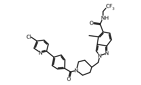 Cc1c(C(=O)NCC(F)(F)F)ccc2nn(CC3CCN(C(=O)c4ccc(-c5ccc(Cl)cn5)cc4)CC3)cc12